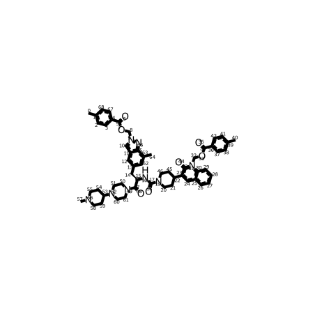 Cc1ccc(C(=O)OCn2cc3cc(C[C@@H](NC(=O)N4CCC(c5cc6ccccc6n(COC(=O)c6ccc(C)cc6)c5=O)CC4)C(=O)N4CCN(C5CCN(C)CC5)CC4)cc(C)c3n2)cc1